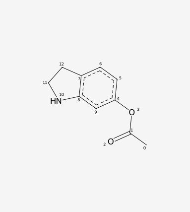 CC(=O)Oc1ccc2c(c1)NCC2